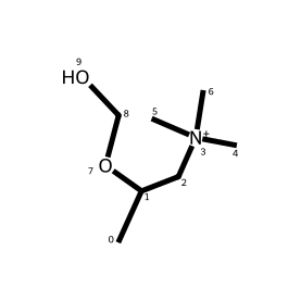 CC(C[N+](C)(C)C)OCO